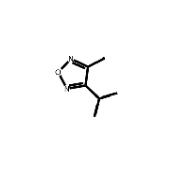 Cc1nonc1C(C)C